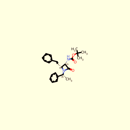 C[C@H](c1ccccc1)N1C(=O)[C@@H](NC(=O)OC(C)(C)C)[C@H]1C=Cc1ccccc1